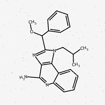 COC(c1ccccc1)c1nc2c(N)nc3ccccc3c2n1CC(C)C